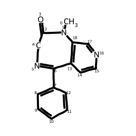 CN1C(=O)CN=C(c2ccccc2)c2ccncc21